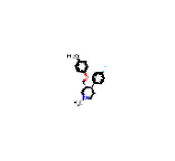 COc1ccc(OC[C@H]2CN(C)CC[C@@H]2c2ccc(F)cc2)cc1